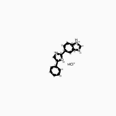 Cl.c1ccc(-c2cnc(-c3ccc4[nH]cnc4c3)o2)cc1